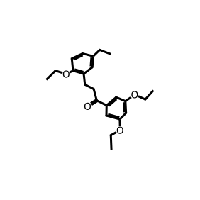 CCOc1cc(OCC)cc(C(=O)CCc2cc(CC)ccc2OCC)c1